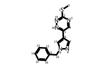 CSc1ncc(-c2cnn(Cc3ccccc3)c2)nn1